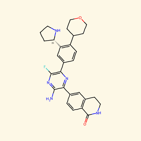 Nc1nc(F)c(-c2ccc(C3CCOCC3)c([C@@H]3CCCN3)c2)nc1-c1ccc2c(c1)CCNC2=O